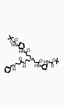 CC(C)(C)OC(=O)Nc1cccc(NC(=O)CCN(CCNC(=O)CCNCc2ccccc2)CCC(=O)Nc2cccc(NC(=O)OC(C)(C)C)c2)c1